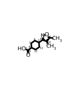 Cc1onc(C2CCC(C(=O)O)CC2)c1C